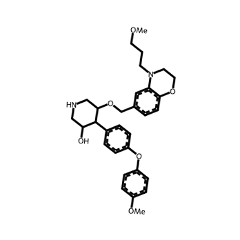 COCCCN1CCOc2ccc(COC3CNCC(O)C3c3ccc(Oc4ccc(OC)cc4)cc3)cc21